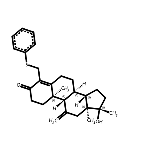 C=C1C[C@@]2(C)[C@@H](CC[C@]2(C)O)[C@@H]2CCC3=C(CSc4ccccc4)C(=O)CC[C@]3(C)[C@@H]12